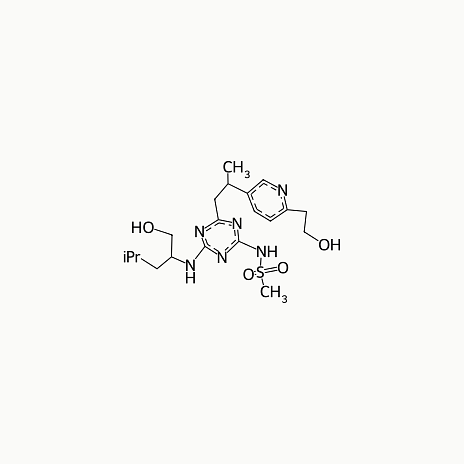 CC(C)CC(CO)Nc1nc(CC(C)c2ccc(CCO)nc2)nc(NS(C)(=O)=O)n1